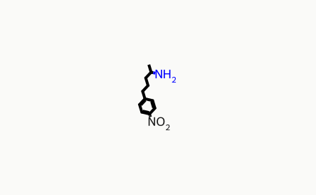 CC(N)CCCc1ccc([N+](=O)[O-])cc1